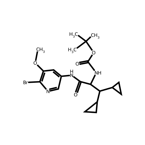 COc1cc(NC(=O)C(NC(=O)OC(C)(C)C)C(C2CC2)C2CC2)cnc1Br